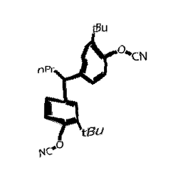 CCCC(c1ccc(OC#N)c(C(C)(C)C)c1)c1ccc(OC#N)c(C(C)(C)C)c1